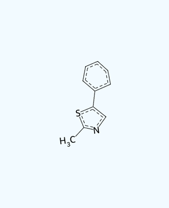 Cc1ncc(-c2ccccc2)s1